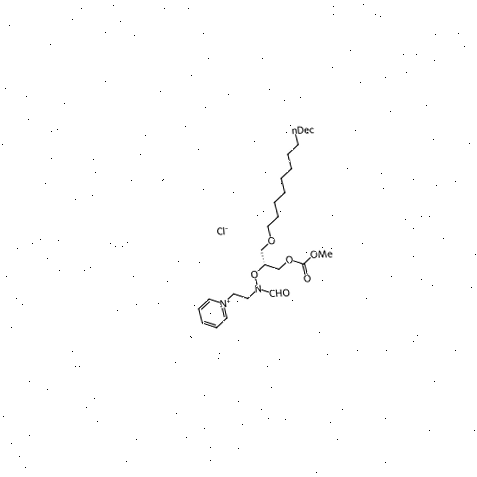 CCCCCCCCCCCCCCCCCCOC[C@H](COC(=O)OC)ON(C=O)CC[n+]1ccccc1.[Cl-]